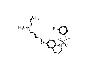 C=CCN(C)CC=CCOc1ccc2c(c1)CCCN2S(=O)(=O)Nc1cccc(F)c1